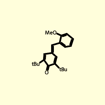 COc1ccccc1C=C1C=C(C(C)(C)C)C(=O)C(C(C)(C)C)=C1